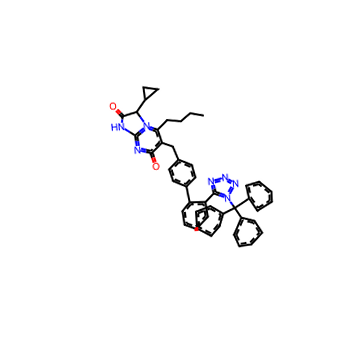 CCCCc1c(Cc2ccc(-c3ccccc3-c3nnnn3C(c3ccccc3)(c3ccccc3)c3ccccc3)cc2)c(=O)nc2n1C(C1CC1)C(=O)N2